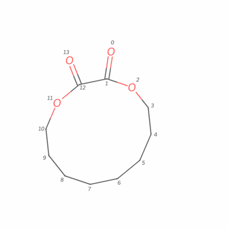 O=C1OCCCCCCCCOC1=O